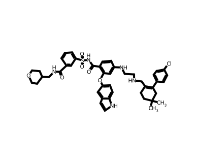 CC1(C)CCC(CNCCNc2ccc(C(=O)NS(=O)(=O)c3cccc(C(=O)NCC4CCOCC4)c3)c(Oc3ccc4[nH]ccc4c3)c2)=C(c2ccc(Cl)cc2)C1